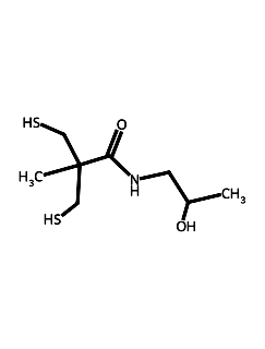 CC(O)CNC(=O)C(C)(CS)CS